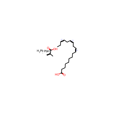 C=C(C)C(=O)O.CC/C=C\C/C=C\C/C=C\CCCCCCCC(=O)O.[PbH2].[PbH2]